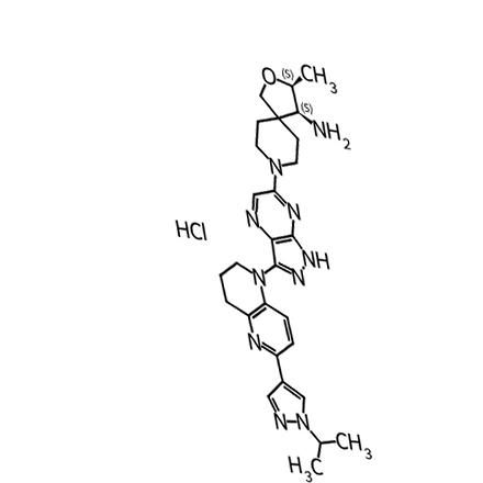 CC(C)n1cc(-c2ccc3c(n2)CCCN3c2n[nH]c3nc(N4CCC5(CC4)CO[C@@H](C)[C@H]5N)cnc23)cn1.Cl